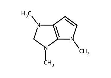 CN1CN(C)c2c1ccn2C